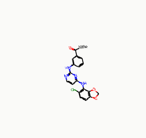 CNC(=O)c1cccc(Nc2nccc(Nc3c(Cl)ccc4c3OCO4)n2)c1